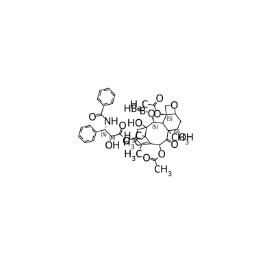 B=BO[C@H]1C2C(C)(C(=O)C(OC(C)=O)C3=C(C)C(OC(=O)[C@H](O)[C@@H](NC(=O)c4ccccc4)c4ccccc4)CC1(O)C3(C)C)[C@@H](O)CC1OC[C@]12OC(C)=O